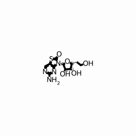 Nc1ncc2sc(=O)n([C@@H]3O[C@H](CCO)[C@@H](O)[C@H]3O)c2n1